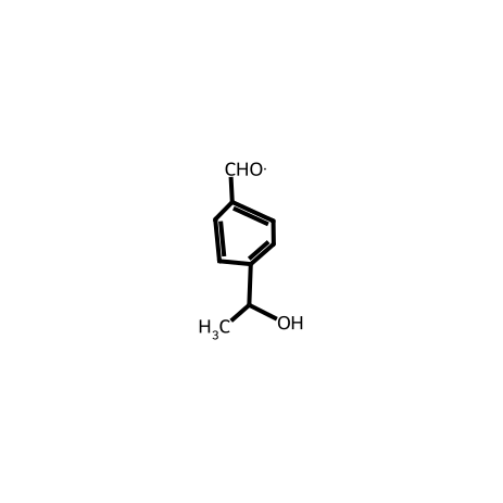 CC(O)c1ccc([C]=O)cc1